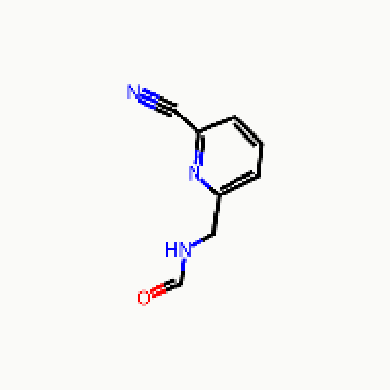 N#Cc1cccc(CNC=O)n1